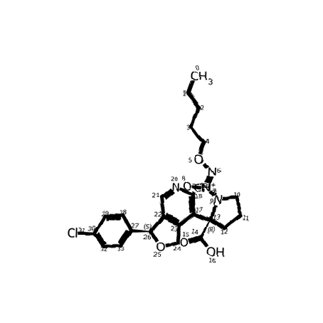 CCCCCON=[N+]([O-])N1CCC[C@]1(C(=O)O)c1c(C)ncc2c1CO[C@H]2c1ccc(Cl)cc1